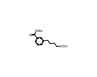 CCCCCCCCCCCCc1cccc(C(=O)OC)c1